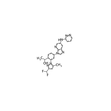 Cc1cc(C(F)F)nn1-c1cc(-n2cnc3cc(Nc4cccnn4)cnc32)ccc1C(C)O